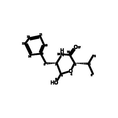 CC(C)[C@@H]1OC(O)[C@H](Cc2ccccc2)NC1=O